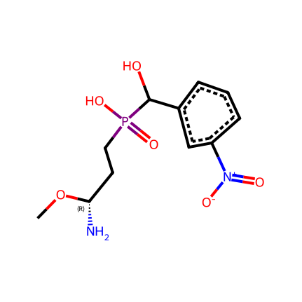 CO[C@@H](N)CCP(=O)(O)C(O)c1cccc([N+](=O)[O-])c1